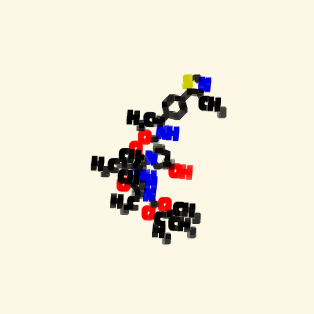 Cc1ncsc1-c1ccc([C@H](C)NC(=O)[C@@H]2C[C@@H](O)CN2C(=O)[C@@H](NC(=O)[C@H](C)NC(=O)OC(C)(C)C)C(C)(C)C)cc1